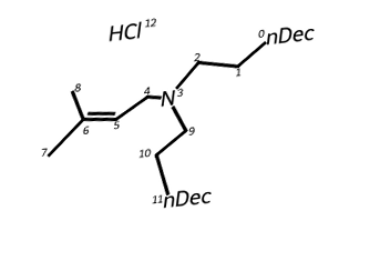 CCCCCCCCCCCCN(CC=C(C)C)CCCCCCCCCCCC.Cl